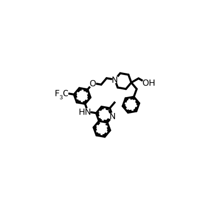 Cc1cc(Nc2cc(OCCN3CCC(CO)(Cc4ccccc4)CC3)cc(C(F)(F)F)c2)c2ccccc2n1